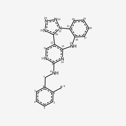 Fc1ccccc1CNc1ncc2c(n1)Nc1ccccc1-n1nnnc1-2